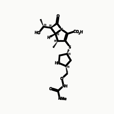 CNC(=O)NOC[C@H]1C[C@@H](SC2=C(C(=O)O)N3C(=O)[C@H]([C@@H](C)O)[C@H]3[C@H]2C)CN1